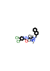 CC(C)(NC(=O)c1ccc(Cl)c(Cl)c1)c1cn(Cc2ccc3ccccc3c2)nn1